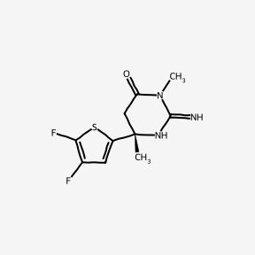 CN1C(=N)N[C@](C)(c2cc(F)c(F)s2)CC1=O